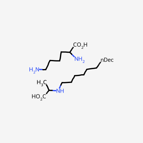 CCCCCCCCCCCCCCCCNC(C)C(=O)O.NCCCCC(N)C(=O)O